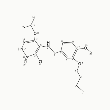 CCCCOc1cc(CNc2c(OC(C)C)n[nH]c(=O)c2Cl)ccc1OC